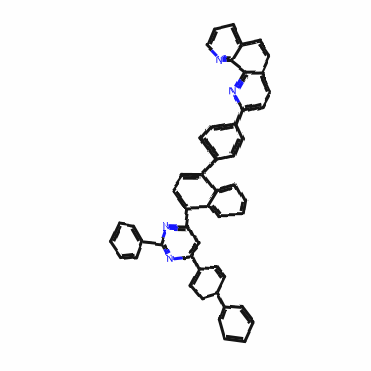 C1=CC(c2ccccc2)CC=C1c1cc(-c2ccc(-c3ccc(-c4ccc5ccc6cccnc6c5n4)cc3)c3ccccc23)nc(-c2ccccc2)n1